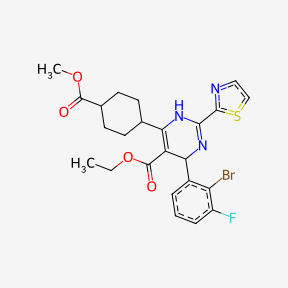 CCOC(=O)C1=C(C2CCC(C(=O)OC)CC2)NC(c2nccs2)=NC1c1cccc(F)c1Br